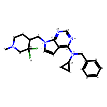 CN1CCC(Cn2ccc3c(N(Cc4ccccc4)C4CC4)ncnc32)C(F)(F)C1